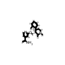 C=C(N)c1ccnc(OC[C@H]2C(C)N(C)CC[C@]2(C)c2ccccc2C)c1